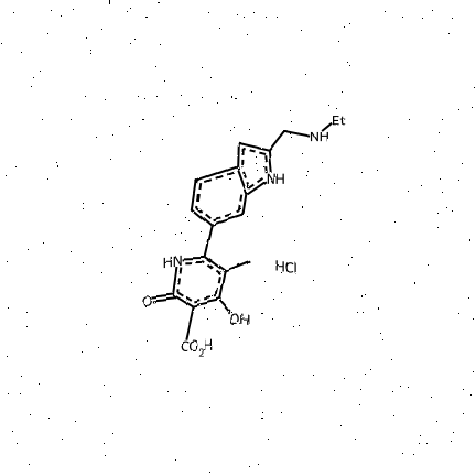 CCNCc1cc2ccc(-c3[nH]c(=O)c(C(=O)O)c(O)c3C)cc2[nH]1.Cl